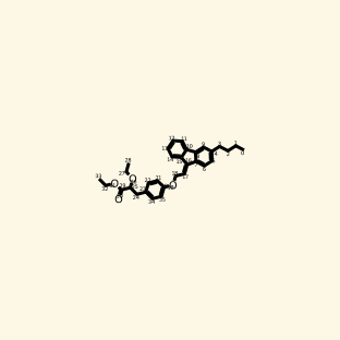 CCCCc1ccc2c(c1)-c1ccccc1C2=CCOc1ccc(CC(OCC)C(=O)OCC)cc1